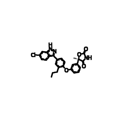 CCCc1cc(-c2n[nH]c3cc(Cl)ccc23)ccc1Oc1cccc([C@@]2(C)OC(=O)NC2=O)c1